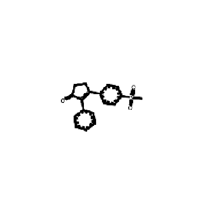 CS(=O)(=O)c1ccc(C2=C(c3ccccc3)C(=O)CC2)cc1